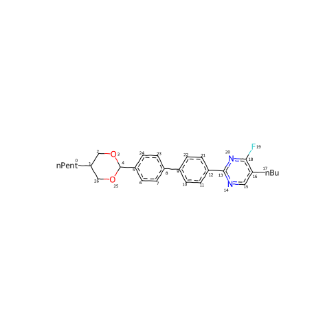 CCCCCC1COC(c2ccc(-c3ccc(-c4ncc(CCCC)c(F)n4)cc3)cc2)OC1